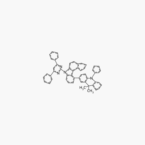 CC1(C)c2ccccc2N(c2ccccc2)c2ccc(-c3cccc4c3c3c5ccccc5ccc3n4-c3nc(-c4ccccc4)cc(-c4ccccc4)n3)cc21